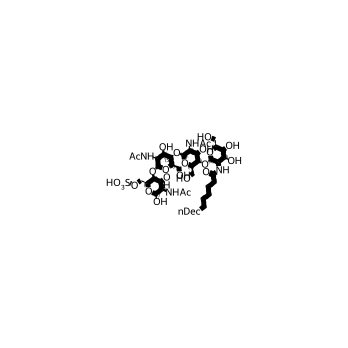 CCCCCCCCCCCCCCCC(=O)NC1[C@H](O[C@H]2C(O)[C@@H](NC(C)=O)[C@H](O[C@H]3[C@H](O)[C@@H](NC(C)=O)[C@H](O[C@H]4C(O)[C@@H](NC(C)=O)[C@H](O)O[C@@H]4COS(=O)(=O)O)O[C@@H]3CO)O[C@@H]2CO)O[C@H](CO)C(O)[C@@H]1O